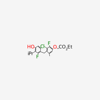 CCOC(=O)COc1cc(C)c(Cc2ccc(O)c(C(C)C)c2F)c(Cl)c1F